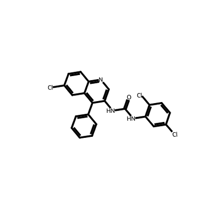 O=C(Nc1cc(Cl)ccc1Cl)Nc1cnc2ccc(Cl)cc2c1-c1ccccc1